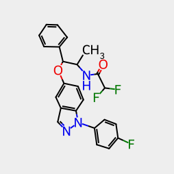 CC(NC(=O)C(F)F)C(Oc1ccc2c(cnn2-c2ccc(F)cc2)c1)c1ccccc1